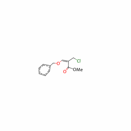 COC(=O)C(=COCc1ccccc1)CCl